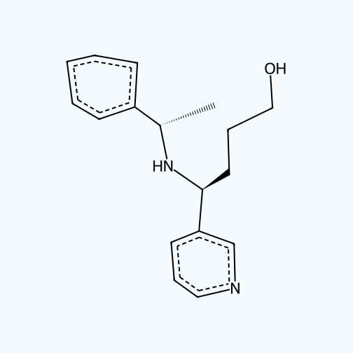 C[C@H](N[C@@H](CCCO)c1cccnc1)c1ccccc1